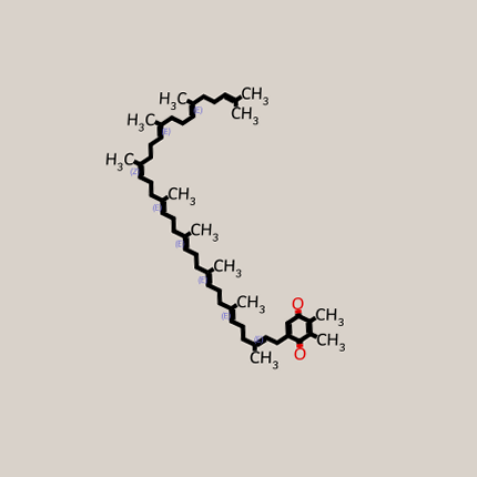 CC(C)=CCC/C(C)=C/CC/C(C)=C/CC/C(C)=C\CC/C(C)=C/CC/C(C)=C/CC/C(C)=C/CC/C(C)=C/CC/C(C)=C/CC1=CC(=O)C(C)=C(C)C1=O